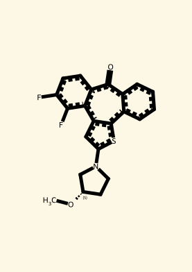 CO[C@H]1CCN(c2cc3c(s2)c2ccccc2c(=O)c2ccc(F)c(F)c23)C1